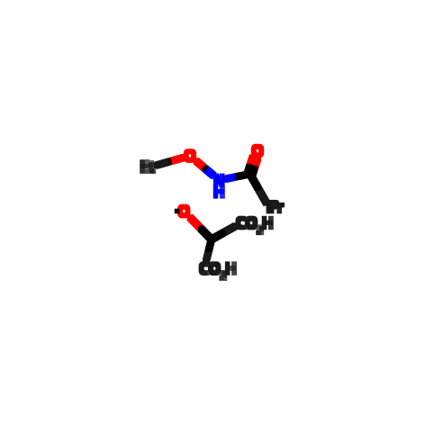 CCONC(=O)C(C)C.[O]C(C(=O)O)C(=O)O